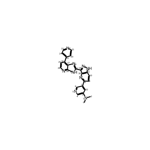 CN(C)c1cncc(-c2ccc3[nH]nc(-c4nc5c(-c6ccncc6)ccnc5[nH]4)c3n2)c1